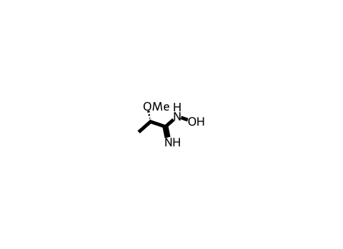 CO[C@@H](C)C(=N)NO